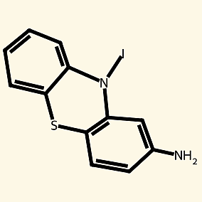 Nc1ccc2c(c1)N(I)c1ccccc1S2